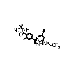 C#Cc1cc(NCCC(F)(F)F)c2ncc(-c3ccc(C(=O)NC4(C#N)CC4)c(C)c3)n2c1